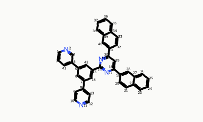 c1cncc(-c2cc(-c3ccncc3)cc(-c3nc(-c4ccc5ccccc5c4)cc(-c4ccc5ccccc5c4)n3)c2)c1